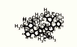 CCC1=Cc2c(ccc(-c3ccccc3)c2-c2cc(C(C)(C)C)cc(C(C)(C)C)c2)[CH]1[Zr]([Cl])([Cl])([CH]1C(CC)=Cc2c1ccc(-c1ccccc1)c2-c1cc(C(C)(C)C)cc(C(C)(C)C)c1)[SiH](C)C